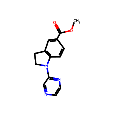 COC(=O)c1ccc2c(c1)CCN2c1cnccn1